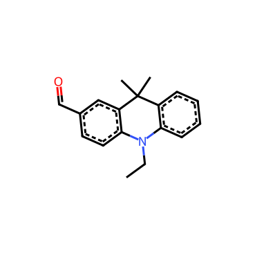 CCN1c2ccccc2C(C)(C)c2cc(C=O)ccc21